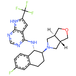 Fc1ccc2c(c1)CC[C@H](N1C[C@H]3COC[C@@H]3C1)[C@H]2Nc1ncnc2[nH]c(C(F)(F)F)cc12